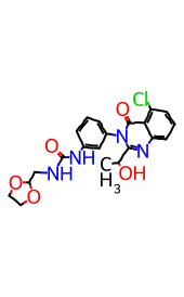 CC(O)c1nc2cccc(Cl)c2c(=O)n1-c1cccc(NC(=O)NCC2OCCO2)c1